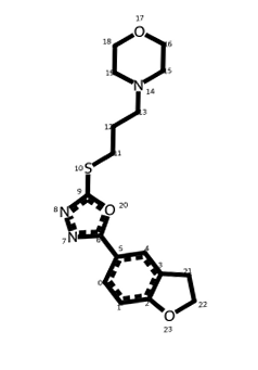 c1cc2c(cc1-c1nnc(SCCCN3CCOCC3)o1)CCO2